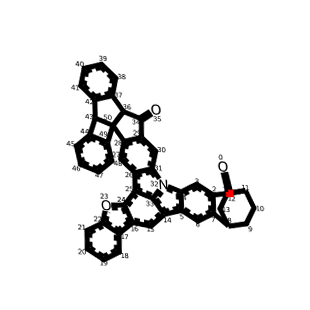 O=C1c2cc3c(cc2C2CCC1CC2)c1cc2c4ccccc4oc2c2c4cc5c(cc4n3c12)C(=O)C1c2ccccc2C2c3ccccc3C512